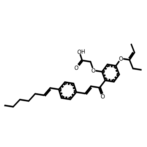 C/C=C(/CC)Oc1ccc(C(=O)/C=C/c2ccc(/C=C/CCCCC)cc2)c(OCC(=O)O)c1